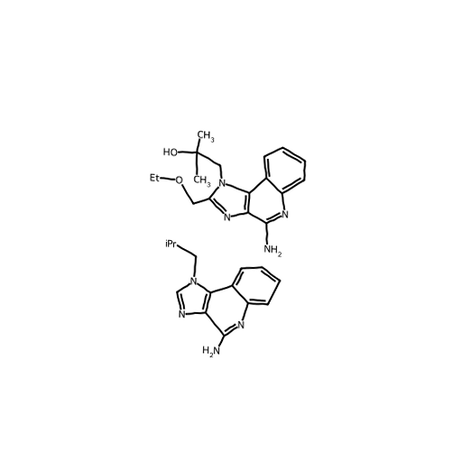 CC(C)Cn1cnc2c(N)nc3ccccc3c21.CCOCc1nc2c(N)nc3ccccc3c2n1CC(C)(C)O